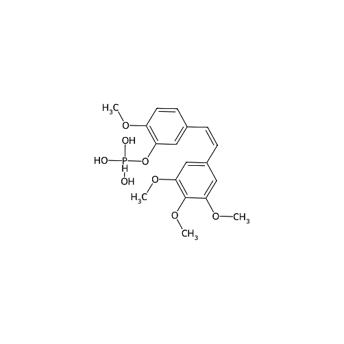 COc1ccc(/C=C\c2cc(OC)c(OC)c(OC)c2)cc1O[PH](O)(O)O